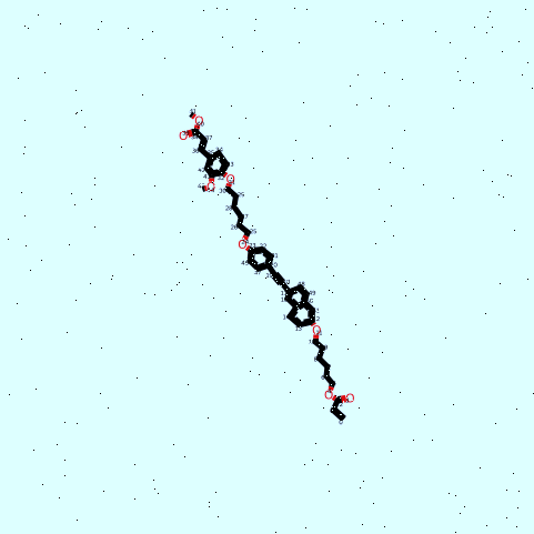 C=CC(=O)OCCCCCCOc1ccc2cc(C#Cc3ccc(OCCCCCCOc4ccc(C=CC(=O)OC)cc4OC)cc3)ccc2c1